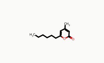 CCCCCCc1cc(C)cc(=O)o1